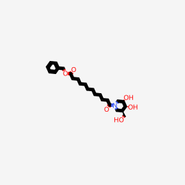 O=C(CCCCCCCCCCC(=O)N1C[C@H](CO)[C@@H](O)[C@H](O)C1)OCc1ccccc1